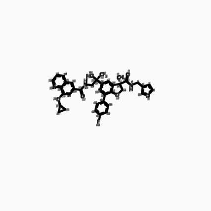 C[C@]1(C(=O)NCc2ccoc2)COc2c1cc([C@@](O)(CNC(=O)c1cc(OC3CC3)c3ncccc3c1)C(F)(F)F)nc2-c1ccc(F)cc1